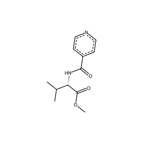 COC(=O)[C@@H](NC(=O)c1ccncc1)C(C)C